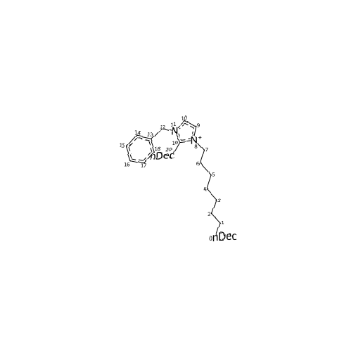 CCCCCCCCCCCCCCCCC[n+]1ccn(Cc2ccccc2)c1CCCCCCCCCC